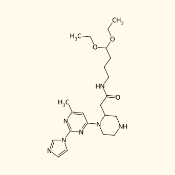 CCOC(CCCNC(=O)CC1CNCCN1c1cc(C)nc(-n2ccnc2)n1)OCC